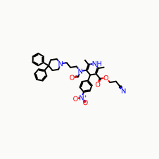 CC1=C(C(=O)OCCC#N)C(c2ccc([N+](=O)[O-])cc2)C(N(C=O)CCCN2CCC(c3ccccc3)(c3ccccc3)CC2)=C(C)N1